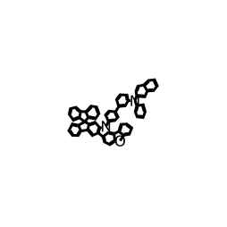 c1ccc(N(c2cccc(-c3ccc(-n4c5cc6c(cc5c5ccc7oc8ccccc8c7c54)-c4ccccc4C64c5ccccc5-c5ccccc54)cc3)c2)c2ccc3ccccc3c2)cc1